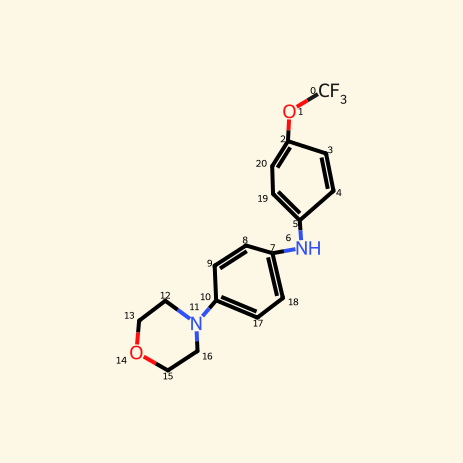 FC(F)(F)Oc1ccc(Nc2ccc(N3CCOCC3)cc2)cc1